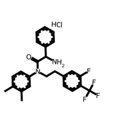 Cc1ccc(N(CCc2ccc(C(F)(F)F)c(F)c2)C(=O)C(N)c2ccccc2)cc1C.Cl